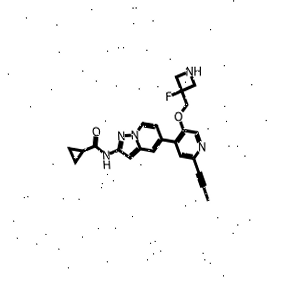 CC#Cc1cc(-c2ccn3nc(NC(=O)C4CC4)cc3c2)c(OCC2(F)CNC2)cn1